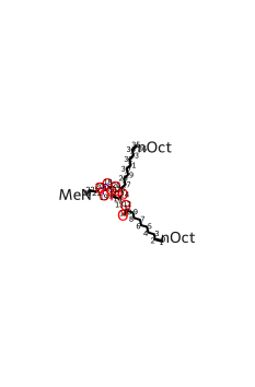 CCCCCCCC/C=C\CCCCCCCC(=O)OC[C@H](COP(=O)(O)OCCNC)OC(=O)CCCCCCC/C=C\CCCCCCCC